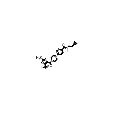 Cc1nc(C(=O)N2CCN(c3ccc(C(=O)NCCC4CC4)nn3)CC2)c(C(F)(F)F)o1